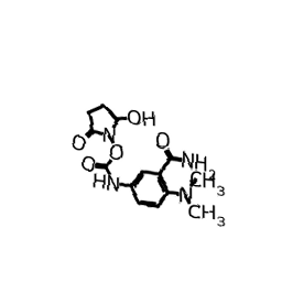 CN(C)c1ccc(NC(=O)ON2C(=O)CCC2O)cc1C(N)=O